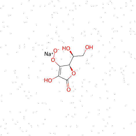 O=C1O[C@H]([C@@H](O)CO)C(O[O-])=C1O.[Na+]